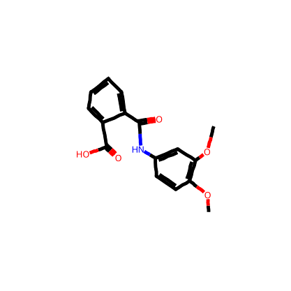 COc1ccc(NC(=O)c2ccccc2C(=O)O)cc1OC